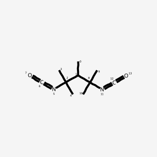 CC(C(C)(C)N=C=O)C(C)(C)N=C=O